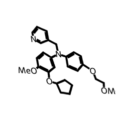 COCCOc1ccc(N(Cc2cccnc2)c2ccc(OC)c(OC3CCCC3)c2)cc1